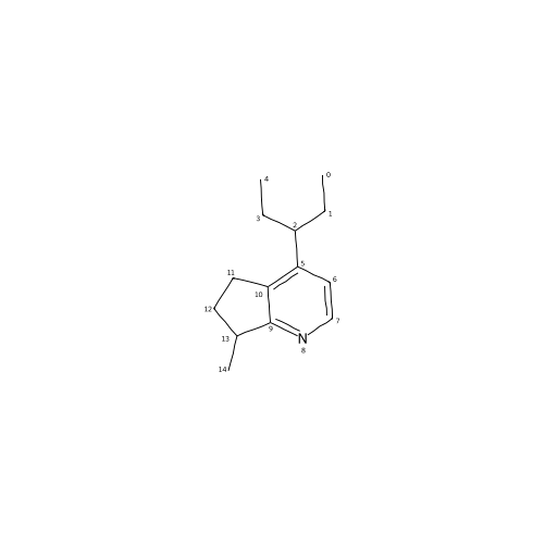 CCC(CC)c1ccnc2c1CCC2C